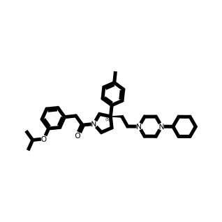 Cc1ccc([C@]2(CCN3CCN(C4CCCCC4)CC3)CCN(C(=O)Cc3cccc(OC(C)C)c3)C2)cc1